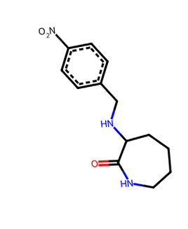 O=C1NCCCCC1NCc1ccc([N+](=O)[O-])cc1